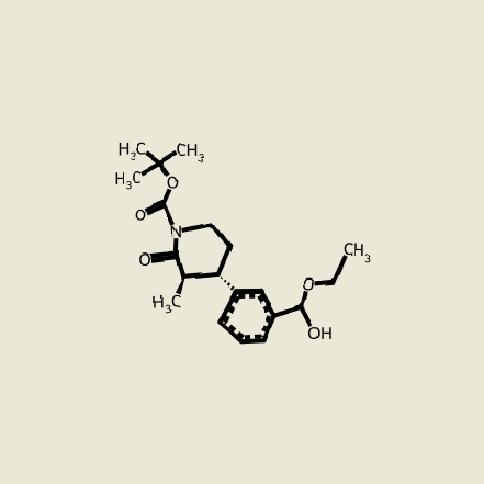 CCOC(O)c1cccc([C@H]2CCN(C(=O)OC(C)(C)C)C(=O)[C@@H]2C)c1